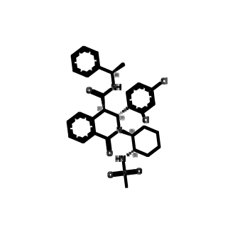 C[C@@H](NC(=O)[C@@H]1c2ccccc2C(=O)N([C@H]2CCCC[C@@H]2NS(C)(=O)=O)[C@H]1c1ccc(Cl)cc1Cl)c1ccccc1